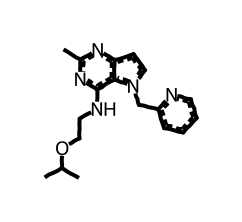 Cc1nc(NCCOC(C)C)c2c(ccn2Cc2ccccn2)n1